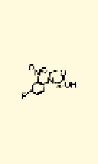 CCN(c1ccc(F)cc1[N+](=O)[O-])[C@@H](C)C(=O)O